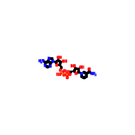 NC(=O)c1ccc[n+]([C@H]2O[C@H](COP(=O)(O)OP(=O)(O)OC[C@H]3O[C@@H](n4cnc5c(N)ncnc54)[C@H](O)[C@@H]3O)[C@@H](O)[C@H]2O)c1